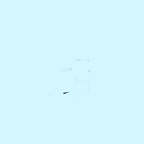 CCOC(=O)[C@@H]1CCCN1C(=O)[C@H](C)N.Cl